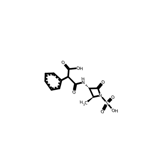 C[C@H]1[C@H](NC(=O)C(C(=O)O)c2ccccc2)C(=O)N1S(=O)(=O)O